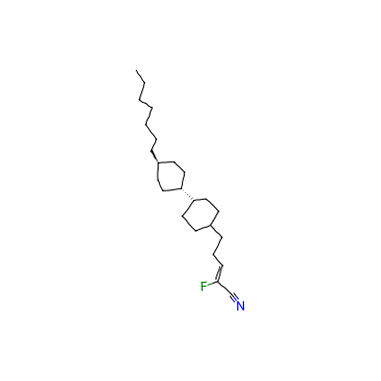 CCCCCCC[C@H]1CC[C@H](C2CCC(CC/C=C(\F)C#N)CC2)CC1